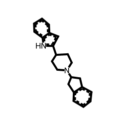 c1ccc2c(c1)CC(N1CCC(c3cc4ccccc4[nH]3)CC1)C2